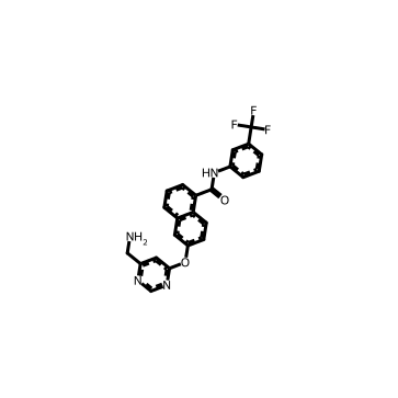 NCc1cc(Oc2ccc3c(C(=O)Nc4cccc(C(F)(F)F)c4)cccc3c2)ncn1